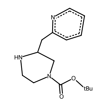 CC(C)(C)OC(=O)N1CCNC(Cc2ccccn2)C1